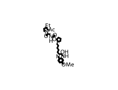 CC[C@@H]1CCN(C(=O)CNC(=O)OC2CCC[C@H]2CCCCCC2=Nc3ccc(OC)cc3NC2O)[C@@H]1C(C)=O